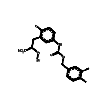 Cc1ccc(COC(=O)Nc2ccc(F)c(CC(OC(C)C)C(=O)O)c2)cc1C